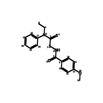 CCN(C(=S)SNC(=O)c1ccc(OC)cc1)c1ccccc1